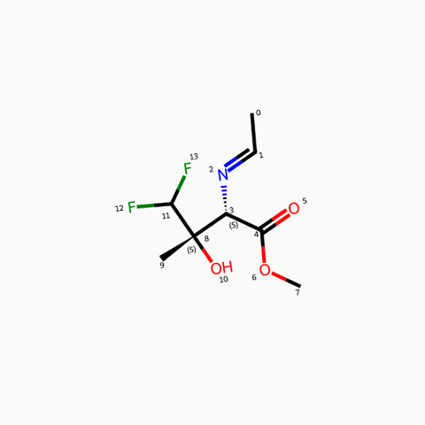 CC=N[C@H](C(=O)OC)[C@](C)(O)C(F)F